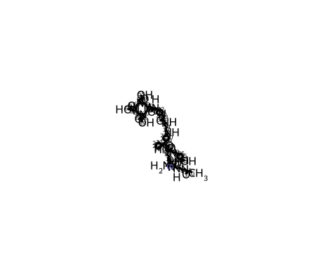 CCC(=O)NCCNC(=O)/N=C(/N)NCCC[C@@H](NC(=O)C(c1ccccc1)c1ccc(NCCCNC(=O)CN2CCC(NC(=O)CN3CCN(CC(=O)O)CCN(CC(=O)O)CCN(CC(=O)O)CC3)CC2)cc1)C(=O)NCc1ccc(O)cc1